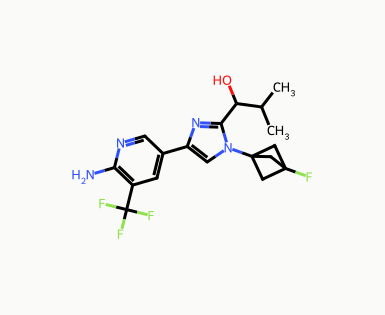 CC(C)C(O)c1nc(-c2cnc(N)c(C(F)(F)F)c2)cn1C12CC(F)(C1)C2